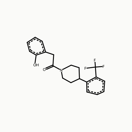 O=C(Cc1ccccc1O)N1CCC(c2ccccc2C(F)(F)F)CC1